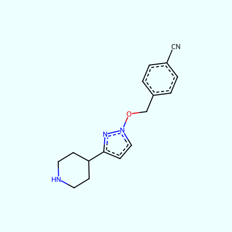 N#Cc1ccc(COn2ccc(C3CCNCC3)n2)cc1